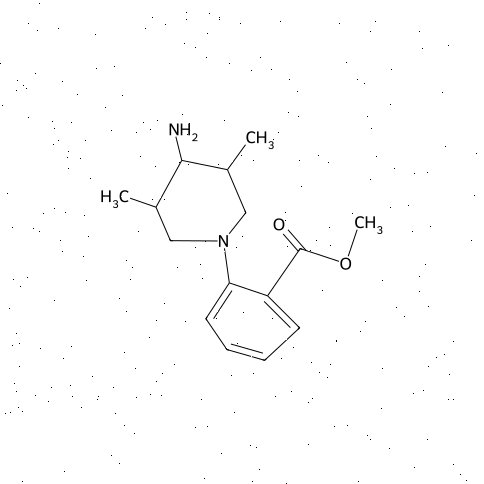 COC(=O)c1ccccc1N1CC(C)C(N)C(C)C1